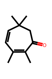 CC1=C(C)C(=O)CC(C)(C)C=C1